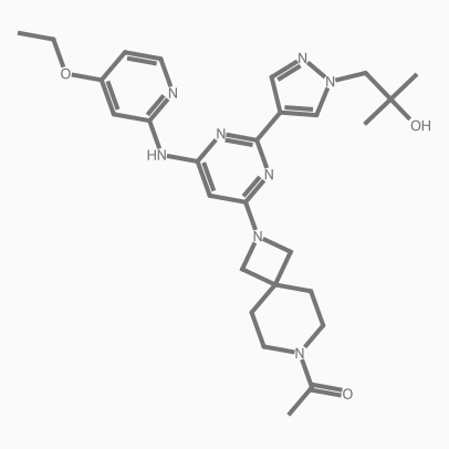 CCOc1ccnc(Nc2cc(N3CC4(CCN(C(C)=O)CC4)C3)nc(-c3cnn(CC(C)(C)O)c3)n2)c1